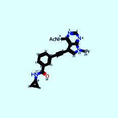 CC(=O)Nc1ncnc2c1c(C#Cc1cccc(C(=O)NC3CC3)c1)cn2C(C)C